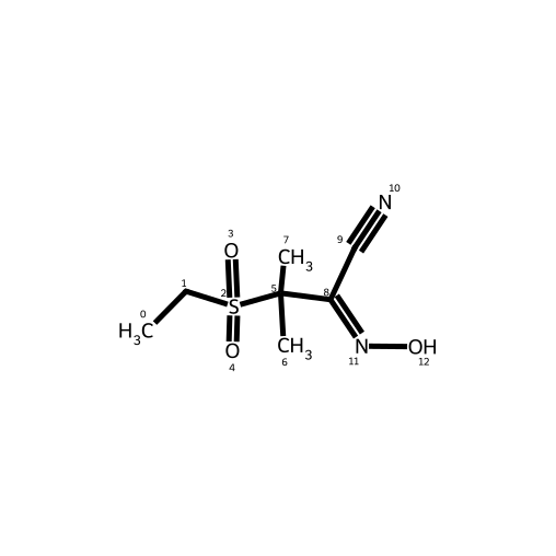 CCS(=O)(=O)C(C)(C)C(C#N)=NO